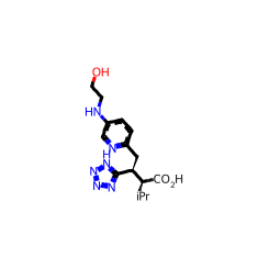 CC(C)[C@H](C(=O)O)[C@H](Cc1ccc(NCCO)cn1)c1nnn[nH]1